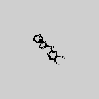 Cc1cnc(NC2=NC[C@@]3(CN4CCC3CC4)O2)nc1C